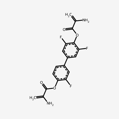 C=C(N)C(=O)Oc1ccc(-c2cc(F)c(OC(=O)C(=C)N)c(F)c2)cc1F